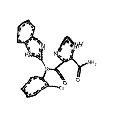 NC(=O)c1[nH]cnc1C(=O)N(c1nc2ccccc2[nH]1)c1ccccc1Cl